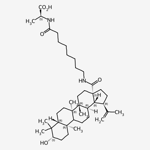 C=C(C)[C@@H]1CC[C@]2(C(=O)NCCCCCCCC(=O)N[C@@H](C)C(=O)O)CC[C@]3(C)[C@H](CCC4[C@@]5(C)CC[C@H](O)C(C)(C)[C@@H]5CC[C@]43C)[C@@H]12